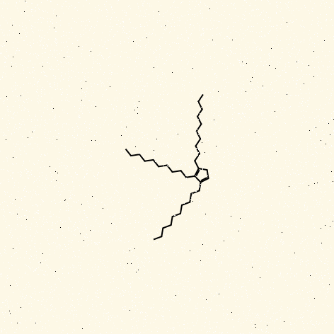 CCCCCCCCCCC1=CCC(CCCCCCCCCC)=C1CCCCCCCCCC